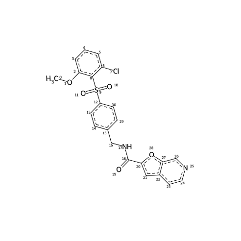 COc1cccc(Cl)c1S(=O)(=O)c1ccc(CNC(=O)c2cc3ccncc3o2)cc1